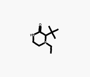 CCN1CCNC(=O)C1C(C)(C)C